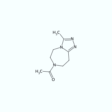 CC(=O)N1CCc2nnc(C)n2CC1